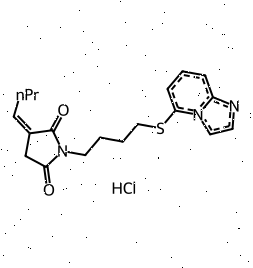 CCCC=C1CC(=O)N(CCCCSc2cccc3nccn23)C1=O.Cl